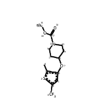 Cc1sc(C(F)(F)F)cc1OC1CCN(C(=O)OC(C)(C)C)CC1